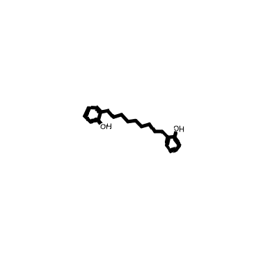 Oc1ccccc1CCCCCCCCCc1ccccc1O